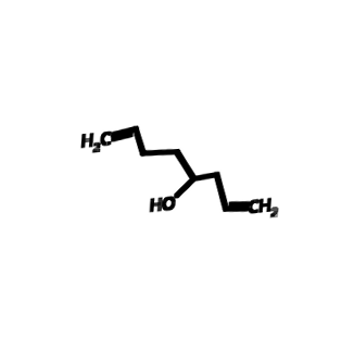 C=CCCC(O)CC=C